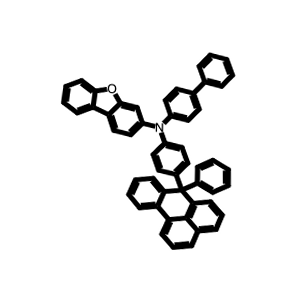 c1ccc(-c2ccc(N(c3ccc(C4(c5ccccc5)c5ccccc5-c5cccc6cccc4c56)cc3)c3ccc4c(c3)oc3ccccc34)cc2)cc1